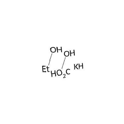 CCO.O=C(O)O.[KH]